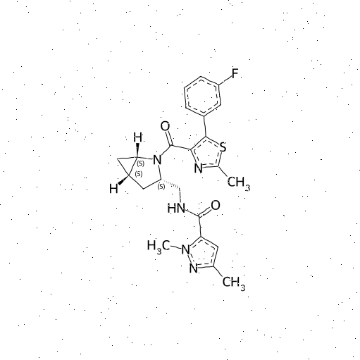 Cc1cc(C(=O)NC[C@@H]2C[C@@H]3C[C@@H]3N2C(=O)c2nc(C)sc2-c2cccc(F)c2)n(C)n1